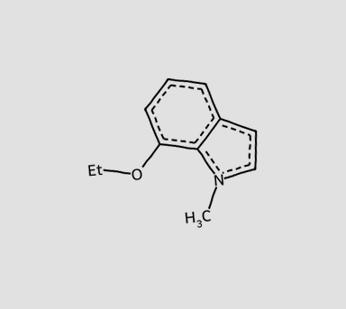 CCOc1cccc2ccn(C)c12